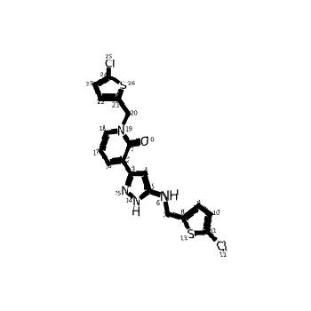 O=c1c(-c2cc(NCc3ccc(Cl)s3)[nH]n2)cccn1Cc1ccc(Cl)s1